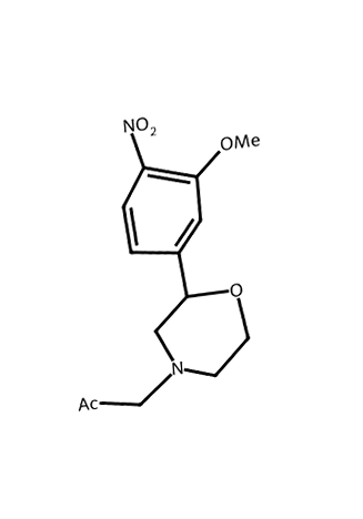 COc1cc(C2CN(CC(C)=O)CCO2)ccc1[N+](=O)[O-]